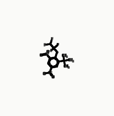 CC(C)(C)c1cc([N+](=O)[O-])cc([N+](=O)[O-])c1[CH]C(F)(F)C(F)F